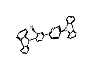 N#Cc1cc(-c2ccc(-n3c4ccccc4c4ccccc43)cn2)ccc1-n1c2ccccc2c2ccccc21